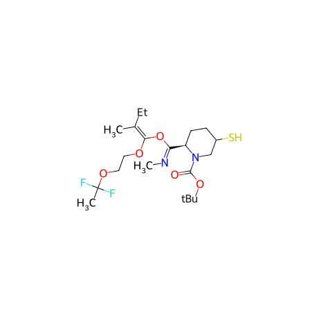 CC/C(C)=C(/OCCOC(C)(F)F)O/C(=N\C)[C@H]1CCC(S)CN1C(=O)OC(C)(C)C